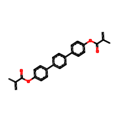 C=C(C)C(=O)Oc1ccc(-c2ccc(-c3ccc(OC(=O)C(=C)C)cc3)cc2)cc1